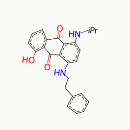 CC(C)Nc1ccc(NCCc2ccccc2)c2c1C(=O)c1cccc(O)c1C2=O